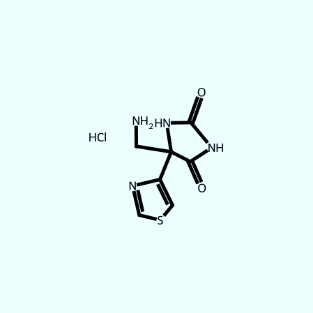 Cl.NCC1(c2cscn2)NC(=O)NC1=O